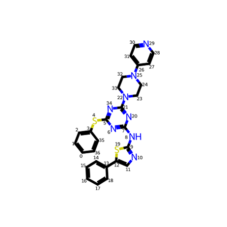 c1ccc(Sc2nc(Nc3ncc(-c4ccccc4)s3)nc(N3CCN(c4ccncc4)CC3)n2)cc1